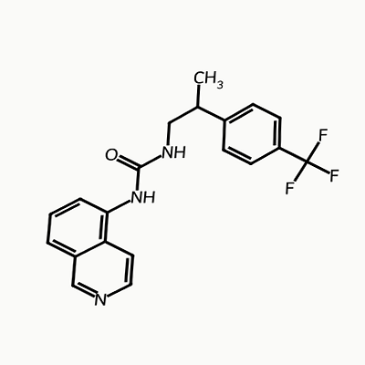 CC(CNC(=O)Nc1cccc2cnccc12)c1ccc(C(F)(F)F)cc1